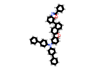 c1ccc(-c2ccc(N(c3ccc(-c4ccccc4)cc3)c3ccc4oc5c6cccc(-c7cccc8nc(-c9ccccc9)oc78)c6ccc5c4c3)cc2)cc1